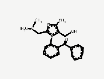 Cc1nc(CN(C)C)n(-c2ccccc2C(=O)c2ccccc2)c1CO